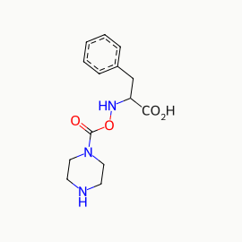 O=C(O)C(Cc1ccccc1)NOC(=O)N1CCNCC1